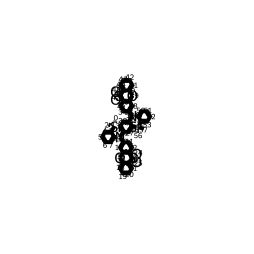 C[Si]1(C)c2ccccc2N(c2ccc3c(c2)Oc2ccccc2S3(=O)=O)c2cc3c(cc21)N(c1ccc2c(c1)Oc1ccccc1S2(=O)=O)c1ccccc1[Si]3(C)C